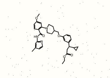 CCOC(=O)CC(c1cccc(OCC2CCN(c3cc(OC)ccc3C(=O)Nc3cc(C)ccn3)CC2)c1)C1CC1